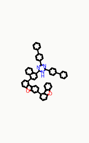 c1ccc(-c2ccc(C3=NC(c4ccc(-c5cccc6oc7cc(-c8cccc9oc%10ccccc%10c89)ccc7c56)c5ccccc45)NC(c4ccc(-c5ccccc5)cc4)=N3)cc2)cc1